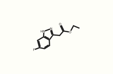 CCOC(=O)Cc1n[nH]c2cc(F)ccc12